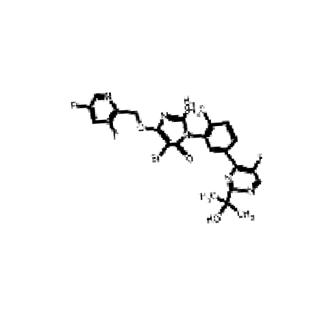 Cc1ccc(-c2nc(C(C)(C)O)ncc2F)cc1-n1c(C)nc(OCc2ncc(F)cc2F)c(Br)c1=O